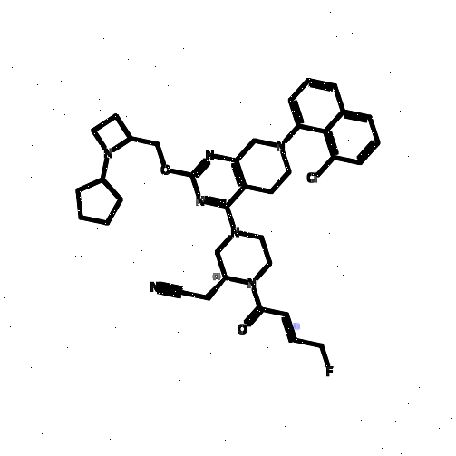 N#CC[C@H]1CN(c2nc(OCC3CCN3C3CCCC3)nc3c2CCN(c2cccc4cccc(Cl)c24)C3)CCN1C(=O)/C=C/CF